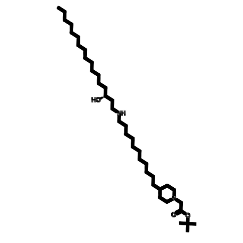 CCCCCCCCCCCCCC[C@@H](O)CCNCCCCCCCCCCCC1CCN(CC(=O)OC(C)(C)C)CC1